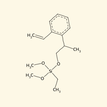 C=Cc1ccccc1C(C)CO[Si](CC)(OC)OC